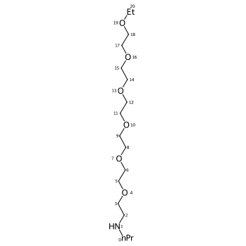 CCCNCCOCCOCCOCCOCCOCCOCC